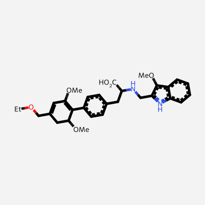 CCOCC1=CC(OC)=C(c2ccc(CC(NCc3[nH]c4ccccc4c3OC)C(=O)O)cc2)C(OC)C1